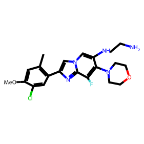 COc1cc(C)c(-c2cn3cc(NCCN)c(N4CCOCC4)c(F)c3n2)cc1Cl